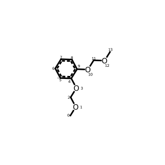 COCOc1[c]cccc1OCOC